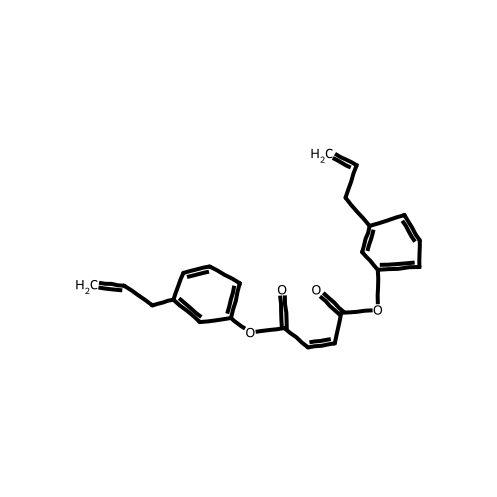 C=CCc1cccc(OC(=O)/C=C\C(=O)Oc2cccc(CC=C)c2)c1